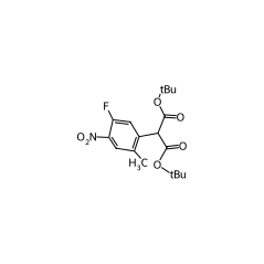 Cc1cc([N+](=O)[O-])c(F)cc1C(C(=O)OC(C)(C)C)C(=O)OC(C)(C)C